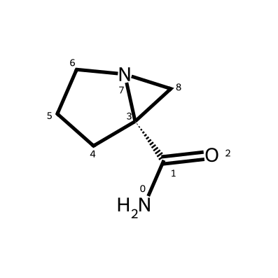 NC(=O)[C@]12CCCN1C2